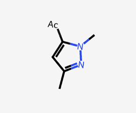 CC(=O)c1cc(C)nn1C